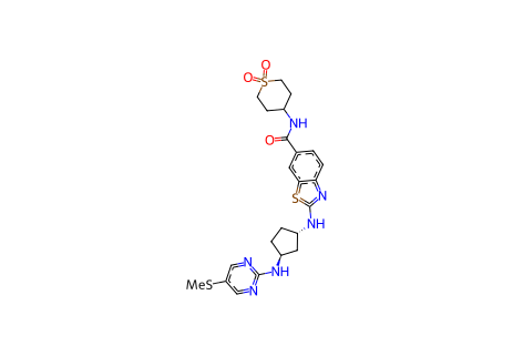 CSc1cnc(N[C@H]2CC[C@H](Nc3nc4ccc(C(=O)NC5CCS(=O)(=O)CC5)cc4s3)C2)nc1